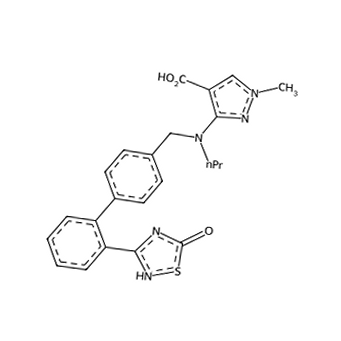 CCCN(Cc1ccc(-c2ccccc2-c2nc(=O)s[nH]2)cc1)c1nn(C)cc1C(=O)O